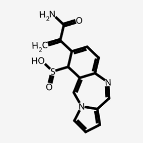 C=C(C(N)=O)C1=CC=C2N=Cc3cccn3C=C2C1S(=O)O